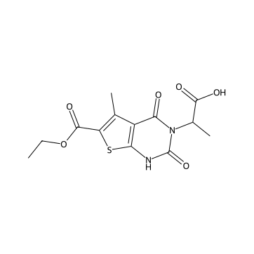 CCOC(=O)c1sc2[nH]c(=O)n(C(C)C(=O)O)c(=O)c2c1C